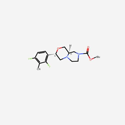 CC(C)(C)OC(=O)N1CCN2C[C@H](c3ccc(F)c(C#N)c3F)OC[C@H]2C1